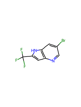 FC(F)(F)c1cc2ncc(Br)cc2[nH]1